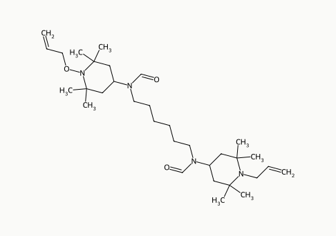 C=CCON1C(C)(C)CC(N(C=O)CCCCCCN(C=O)C2CC(C)(C)N(CC=C)C(C)(C)C2)CC1(C)C